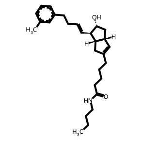 CCCCNC(=O)CCCCC1=C[C@H]2C[C@@H](O)[C@H](/C=C/CCc3cccc(C)c3)[C@H]2C1